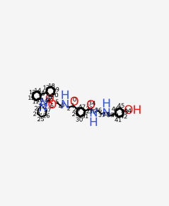 O=C(CNCCOC(=O)N(c1ccccc1-c1ccccc1)N1CC[CH]CC1)c1cccc(C(=O)NCCNCc2ccc(O)cc2)c1